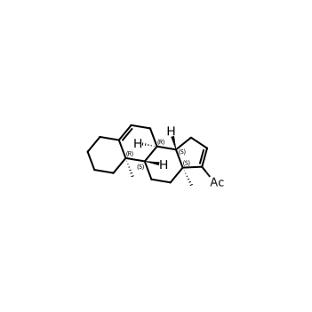 CC(=O)C1=CC[C@H]2[C@@H]3CC=C4CCCC[C@]4(C)[C@H]3CC[C@]12C